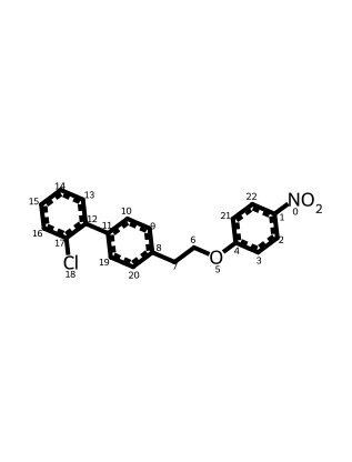 O=[N+]([O-])c1ccc(OCCc2ccc(-c3ccccc3Cl)cc2)cc1